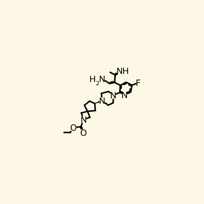 CCOC(=O)N1CC2(CC[C@@H](N3CCN(c4ncc(F)cc4/C(=C/N)C(C)=N)CC3)C2)C1